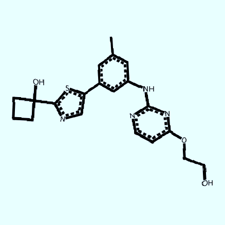 Cc1cc(Nc2nccc(OCCO)n2)cc(-c2cnc(C3(O)CCC3)s2)c1